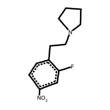 O=[N+]([O-])c1ccc(CCN2CCCC2)c(F)c1